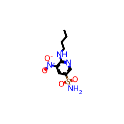 CCCCNc1ncc(S(N)(=O)=O)cc1[N+](=O)[O-]